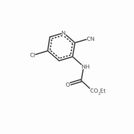 CCOC(=O)C(=O)Nc1cc(Cl)cnc1C#N